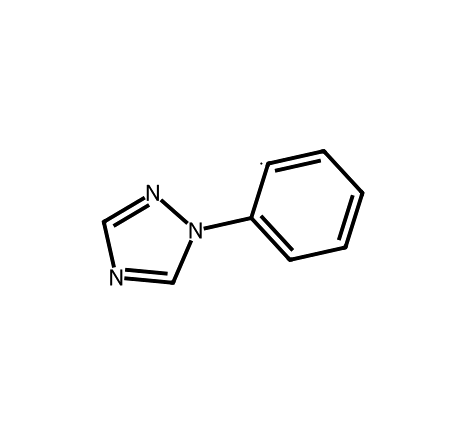 [c]1ccccc1-n1cncn1